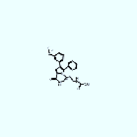 CC(C)(C)C(=O)NCC[C@H]1CNC(=O)c2cc(-c3cccc(OC(F)(F)F)c3)c(-c3ccccc3)n21